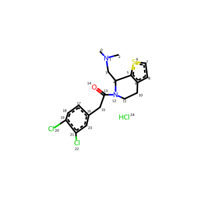 CN(C)CC1c2sccc2CCN1C(=O)Cc1ccc(Cl)c(Cl)c1.Cl